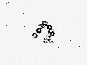 CC(C)(C)OC(=O)N1CCC(Oc2ccc(-c3ncnc4[nH]c(-c5ccc(N6CCOCC6)cc5)nc34)cc2C#N)C1